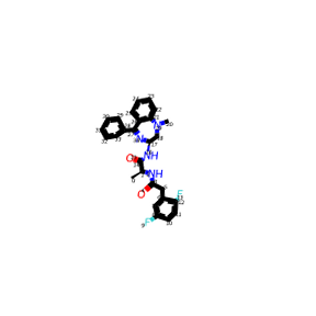 C[C@H](NC(=O)Cc1cc(F)ccc1F)C(=O)N[C@@H]1CN(C)c2ccccc2C(c2ccccc2)=N1